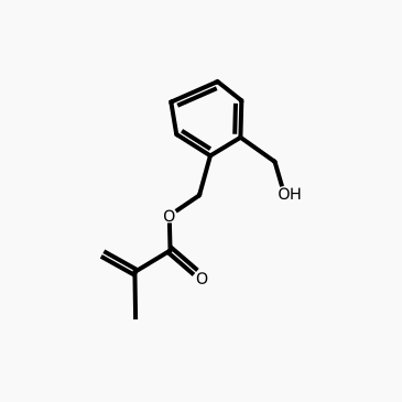 C=C(C)C(=O)OCc1ccccc1CO